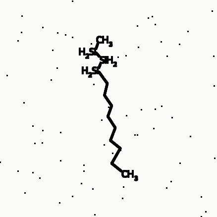 CCCCCCCCC[SiH2][SiH2][SiH2]C